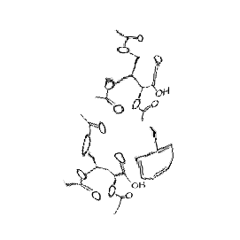 CC(=O)OC[C@H](OC(C)=O)[C@H](OC(C)=O)C(=O)O.CC(=O)OC[C@H](OC(C)=O)[C@H](OC(C)=O)C(=O)O.Ic1ccccc1